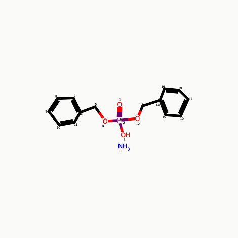 N.O=P(O)(OCc1ccccc1)OCc1ccccc1